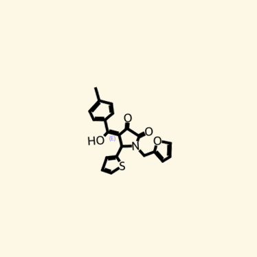 Cc1ccc(/C(O)=C2\C(=O)C(=O)N(Cc3ccco3)C2c2cccs2)cc1